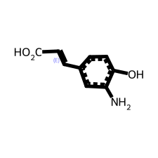 Nc1cc(/C=C/C(=O)O)ccc1O